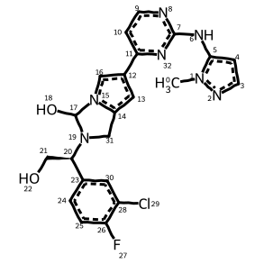 Cn1nccc1Nc1nccc(-c2cc3n(c2)C(O)N([C@H](CO)c2ccc(F)c(Cl)c2)C3)n1